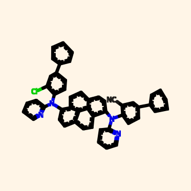 N#Cc1cc(-c2ccccc2)ccc1N(c1ccccn1)c1ccc2ccc3c(N(c4ccccn4)c4ccc(-c5ccccc5)cc4Cl)ccc4ccc1c2c43